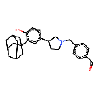 O=Cc1ccc(CN2CCC(c3ccc(O)c(C45CC6CC(CC(C6)C4)C5)c3)C2)cc1